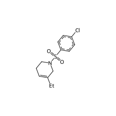 CCC1=CCCN(S(=O)(=O)c2ccc(Cl)cc2)C1